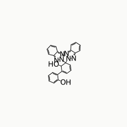 Oc1ccccc1C1=CC=CC(n2nc3ccccc3n2)(n2nc3ccccc3n2)C1O